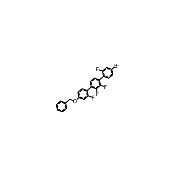 Fc1cc(Br)ccc1-c1ccc(-c2ccc(OCc3ccccc3)cc2F)c(F)c1F